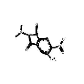 CN(C)C1C(=O)c2cc(N)c([N+](=O)[O-])cc2C1=O